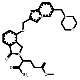 COC(=O)CCC(C(N)=O)N1Cc2c(OCc3cn4cc(CN5CCOCC5)ccc4n3)cccc2C1=O